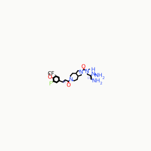 CN(C/C(=C/N)NN)C(=O)N1CC2CCN(C(=O)/C=C/c3ccc(OC(F)(F)F)c(F)c3)CCC2C1